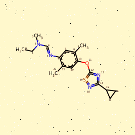 CCN(C)C=Nc1cc(C)c(Oc2nc(C3CC3)ns2)cc1C